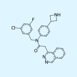 O=C(Cc1nncc2ccccc12)N(Cc1cc(F)cc(Cl)c1)c1ccc(C2CNC2)cc1